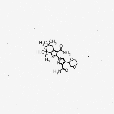 CC1(C)Cc2c(sc(-n3cc(C4COCCO4)c(C(N)=O)n3)c2C(N)=O)C(C)(C)O1